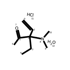 C=CC(CC)(C(C)=O)N(C)C.Cl.O